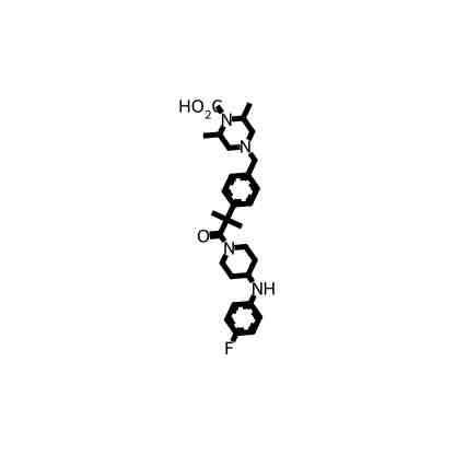 CC1CN(Cc2ccc(C(C)(C)C(=O)N3CCC(Nc4ccc(F)cc4)CC3)cc2)CC(C)N1C(=O)O